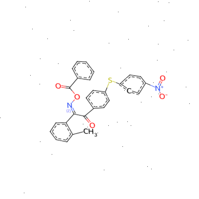 Cc1ccccc1/C(=N/OC(=O)c1ccccc1)C(=O)c1ccc(Sc2ccc([N+](=O)[O-])cc2)cc1